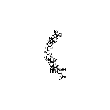 C[S+]([O-])CCC(NS(=O)(=O)c1cnc(N2CCC(CCCC3CCN(S(=O)(=O)c4cc(Br)c(Cl)s4)CC3)CC2)c(Br)c1)C(=O)O